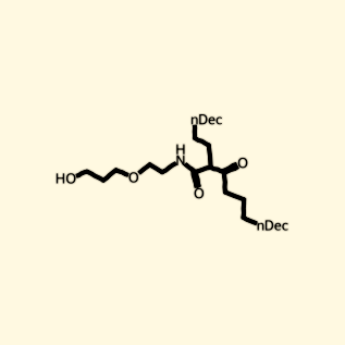 CCCCCCCCCCCCCC(=O)C(CCCCCCCCCCCC)C(=O)NCCOCCCO